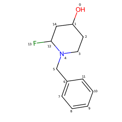 OC1CCN(Cc2ccccc2)C(F)C1